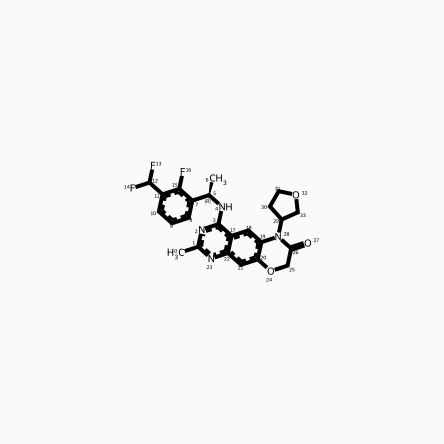 Cc1nc(N[C@H](C)c2cccc(C(F)F)c2F)c2cc3c(cc2n1)OCC(=O)N3C1CCOC1